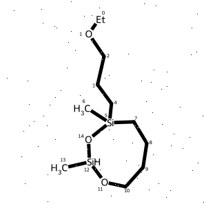 CCOCCC[Si]1(C)CCCCO[SiH](C)O1